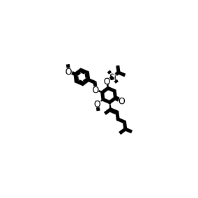 COc1ccc(CO[C@@H]2[C@@H](OC)[C@H](/C(C)=C/CCC(C)C)C(=O)C[C@@H]2O[Si](C)(C)C(C)C)cc1